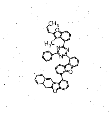 C/C=C\c1oc2cccc(-c3nc(-c4ccccc4)nc(-c4cccc5oc6c(-c7cccc8oc9c(c78)C=C7C=CC=CC7C9)cccc6c45)n3)c2c1C